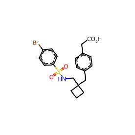 O=C(O)Cc1ccc(CC2(CNS(=O)(=O)c3ccc(Br)cc3)CCC2)cc1